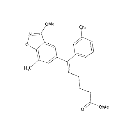 COC(=O)CCCC=C(c1cccc(C#N)c1)c1cc(C)c2onc(OC)c2c1